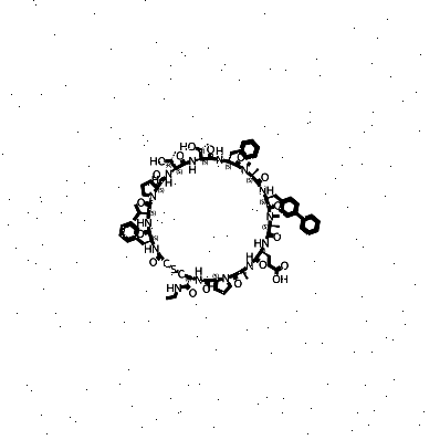 CCNC(=O)[C@@H]1CSCC(=O)N[C@@H](Cc2ccccc2)C(=O)N[C@@H](C(C)C)C(=O)N2CCC[C@H]2C(=O)N[C@@H]([C@@H](C)O)C(=O)N[C@@H]([C@@H](C)O)C(=O)N[C@@H](Cc2ccccc2)C(=O)N(C)[C@@H](C)C(=O)N[C@@H](Cc2ccc(-c3ccccc3)cc2)C(=O)N(C)[C@@H](C)C(=O)N[C@@H](CCC(=O)O)C(=O)N[C@@H](C)C(=O)N2CCC[C@H]2C(=O)N1